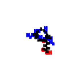 C[C@@]1(CN)CNCCNC[C@@](CN)(NC(=O)CCCC(=O)O)NCCN1